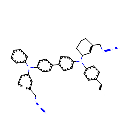 C=Cc1ccc(N(c2ccc(-c3ccc(N(c4ccccc4)c4cccc(CN=[N+]=[N-])c4)cc3)cc2)C2C=C(CN=[N+]=[N-])CCC2)cc1